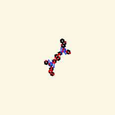 c1ccc(-c2cc(-c3ccc4c(ccc5ccccc54)c3)nc(-c3ccc(-c4cccc5c(-c6ccc(-c7nc(-c8ccccc8)cc(-c8ccc9c(ccc%10ccccc%109)c8)n7)cc6)cccc45)cc3)n2)cc1